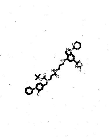 CC(C)(C)OC(=O)N(CCC(=O)NCCCNc1cc(-c2nn[nH]n2)cc2c1cnn2C1CCCCO1)Cc1ccc(-c2ccccc2)c(Cl)c1